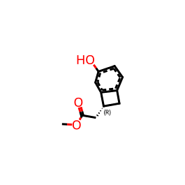 COC(=O)C[C@H]1Cc2ccc(O)cc21